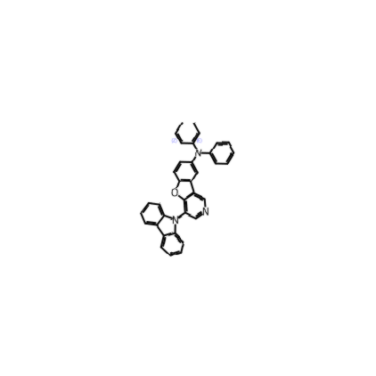 C/C=C\C(=C/C)N(c1ccccc1)c1ccc2oc3c(-n4c5ccccc5c5ccccc54)cncc3c2c1